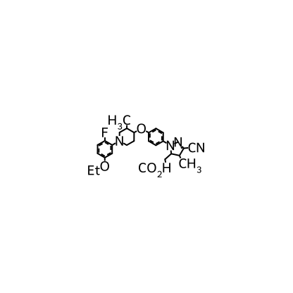 CCOc1ccc(F)c(N2CCC(Oc3ccc(N4N=C(C#N)C(C)C4CC(=O)O)cc3)C(C)C2)c1